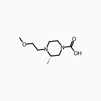 COCCN1CCN(C(=O)O)C[C@@H]1C